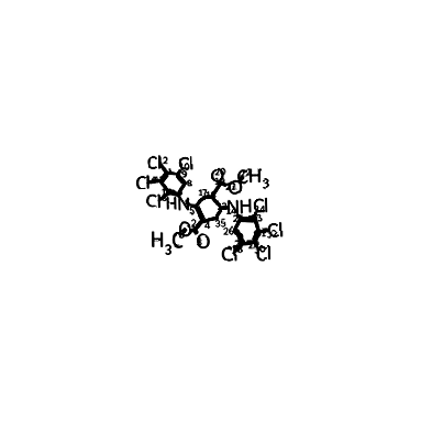 COC(=O)C1=C(Nc2cc(Cl)c(Cl)c(Cl)c2Cl)CC(C(=O)OC)C(Nc2cc(Cl)c(Cl)c(Cl)c2Cl)C1